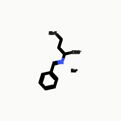 CSCCC(N=Cc1ccccc1)C(=O)[O-].[Na+]